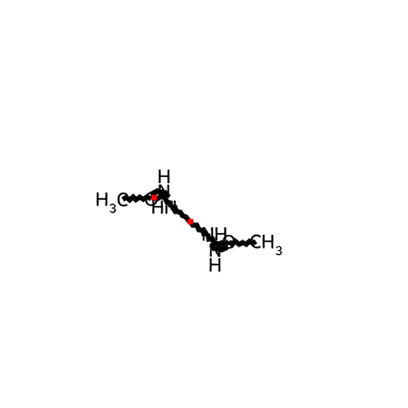 CCCCCCCCOc1ccc2[nH]cc(CCNCCCCCCCCCCCCNCCc3c[nH]c4ccc(OCCCCCCCC)cc34)c2c1